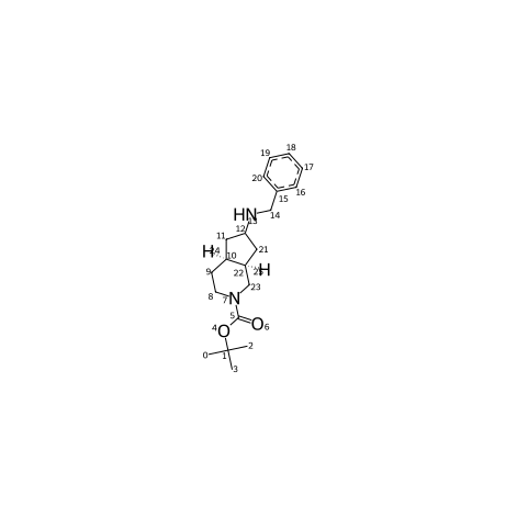 CC(C)(C)OC(=O)N1CC[C@H]2CC(NCc3ccccc3)C[C@H]2C1